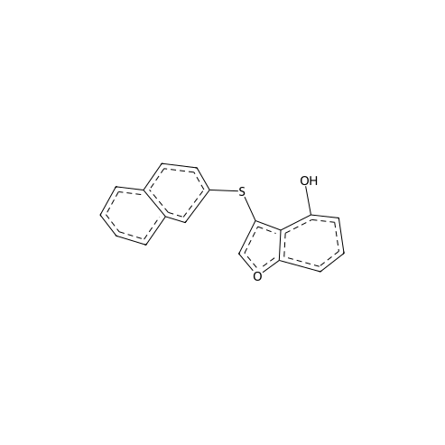 Oc1cccc2occ(Sc3ccc4ccccc4c3)c12